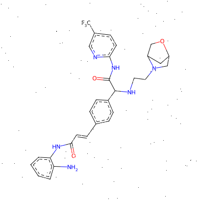 Nc1ccccc1NC(=O)/C=C/c1ccc(C(NCCN2CC3CC2CO3)C(=O)Nc2ccc(C(F)(F)F)cn2)cc1